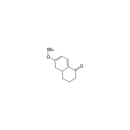 CC(C)(C)OC1=CC=C2C(=O)CCCC2C1